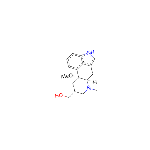 CO[C@@]12C[C@@H](CO)CN(C)[C@@H]1Cc1c[nH]c3cccc2c13